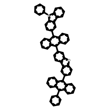 c1ccc(-c2c3ccccc3c(-c3ccc4oc5cc(-c6c7ccccc7c(-c7ccc8c(c7)c7ccccc7n8-c7ccccc7)c7ccccc67)ccc5c4c3)c3ccccc23)cc1